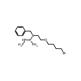 PPP(P)N(CCOCCCCBr)Cc1ccccc1